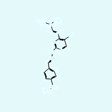 COc1ccc(C=NOc2ncc(F)c(N=CN(C)C)n2)cc1